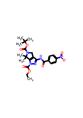 CCOC(=O)n1nc(NC(=O)c2ccc([N+](=O)[O-])cc2)c2c1C(C)(C)N(C(=O)OC(C)(C)C)C2